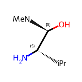 CN[C@@H](O)[C@@H](N)C(C)C